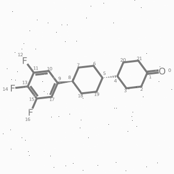 O=C1CCC([C@H]2CC[C@H](c3cc(F)c(F)c(F)c3)CC2)CC1